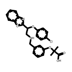 CC(C)(Oc1cccc(CNCC(Oc2ccc(Cl)cc2)c2nc3ccccc3o2)c1)C(=O)O